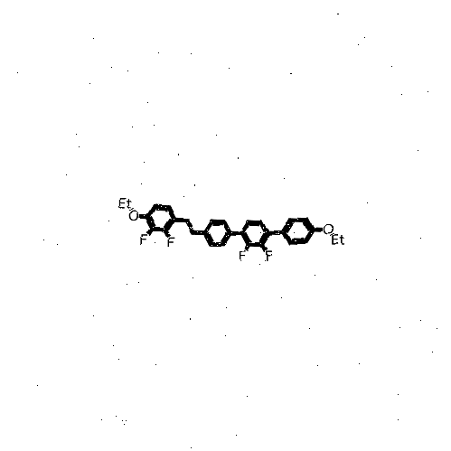 CCOc1ccc(-c2ccc(-c3ccc(CCc4ccc(OCC)c(F)c4F)cc3)c(F)c2F)cc1